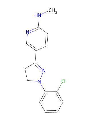 CNc1ccc(C2=NN(c3ccccc3Cl)CC2)cn1